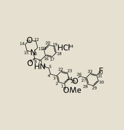 COc1cc(CCNC(C(=O)N2CCOCC2)c2ccccc2)ccc1OCc1cccc(F)c1.Cl